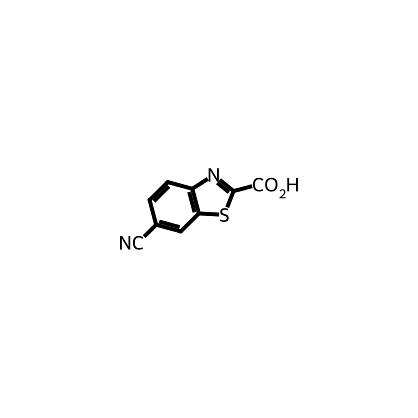 N#Cc1ccc2nc(C(=O)O)sc2c1